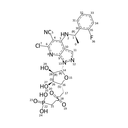 C[C@@H](Nc1c(C#N)c(Cl)nc2c1cnn2[C@@H]1O[C@H](CS(=O)(=O)CP(=O)(O)O)[C@@H](O)[C@H]1O)c1ccccc1F